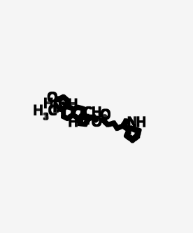 CN1C(=O)CC[C@@]2(C)C1CC[C@@H]1[C@H]2CC[C@]2(C)C(COC(=O)CCCc3c[nH]c4ccccc34)CC[C@@H]12